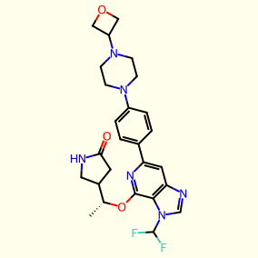 C[C@@H](Oc1nc(-c2ccc(N3CCN(C4COC4)CC3)cc2)cc2ncn(C(F)F)c12)C1CNC(=O)C1